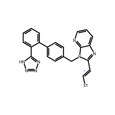 CC/C=C/c1nc2cccnc2n1Cc1ccc(-c2ccccc2-c2nnn[nH]2)cc1